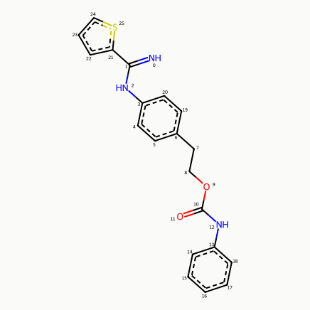 N=C(Nc1ccc(CCOC(=O)Nc2ccccc2)cc1)c1cccs1